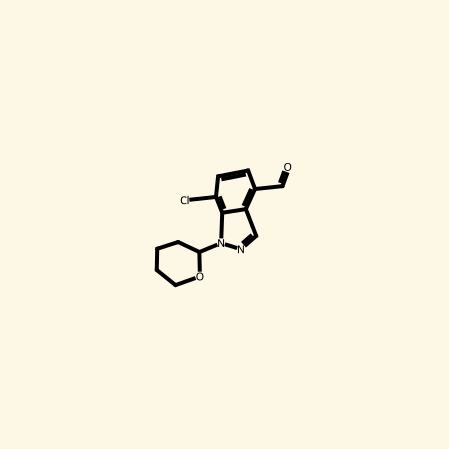 O=Cc1ccc(Cl)c2c1cnn2C1CCCCO1